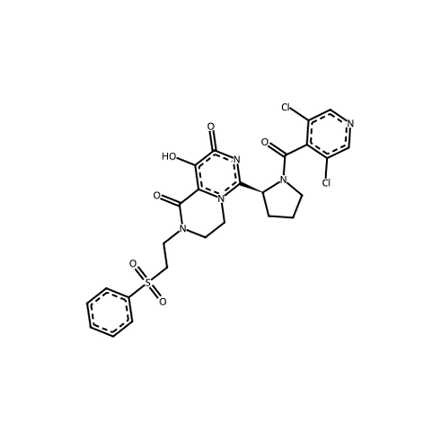 O=C1c2c(O)c(=O)nc([C@@H]3CCCN3C(=O)c3c(Cl)cncc3Cl)n2CCN1CCS(=O)(=O)c1ccccc1